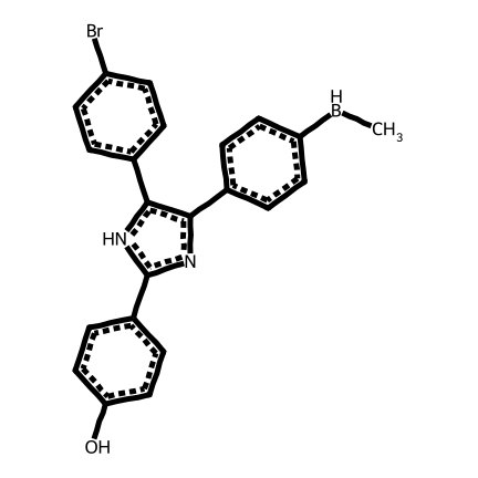 CBc1ccc(-c2nc(-c3ccc(O)cc3)[nH]c2-c2ccc(Br)cc2)cc1